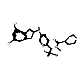 CN(C(=O)C1CCSCC1)[C@@H](c1ccc(NC2Cc3cc(Cl)cc(Cl)c3C2)cn1)C(F)(F)F